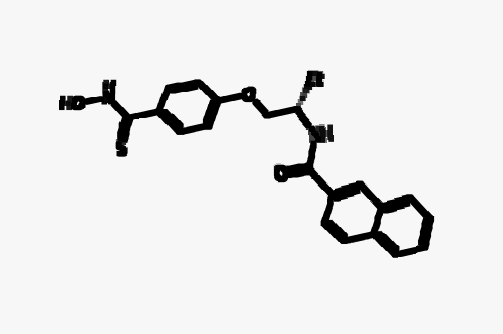 CC[C@@H](COc1ccc(C(=S)NO)cc1)NC(=O)c1ccc2ccccc2c1